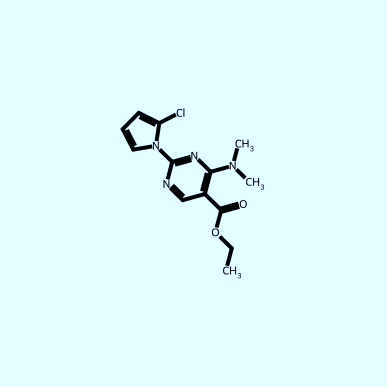 CCOC(=O)c1cnc(-n2cccc2Cl)nc1N(C)C